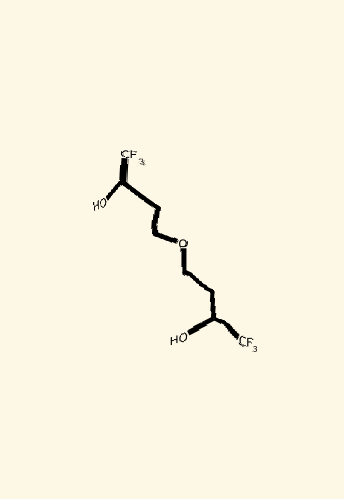 OC(CCOCCC(O)C(F)(F)F)C(F)(F)F